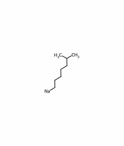 CC(C)CCCC[CH2][Na]